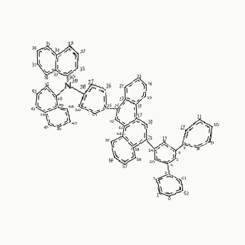 c1ccc(-c2cc(-c3ccccc3)cc(-c3cc4c5ccccc5c(-c5ccc(N(c6cccc7ccccc67)c6cccc7ccccc67)cc5)cc4c4ccccc34)c2)cc1